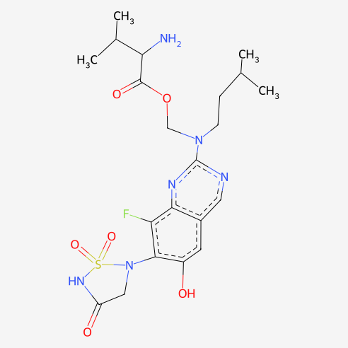 CC(C)CCN(COC(=O)C(N)C(C)C)c1ncc2cc(O)c(N3CC(=O)NS3(=O)=O)c(F)c2n1